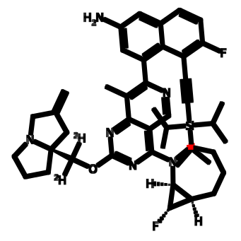 [2H]C([2H])(Oc1nc(N2CCCC[C@H]3[C@H](F)[C@H]32)c2cnc(-c3cc(N)cc4ccc(F)c(C#C[Si](C(C)C)(C(C)C)C(C)C)c34)c(C)c2n1)[C@@]12CCCN1CC(=C)C2